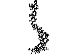 N#Cc1c(NS(=O)(=O)N2CC[C@@H](F)C2)ccc(F)c1Oc1ccc2ncn(-c3ccc(N4CCN(CC5CCN(c6ccc(C7CCC(=O)NC7=O)cc6F)CC5)CC4)nc3)c(=O)c2c1